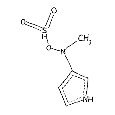 CN(O[SH](=O)=O)c1cc[nH]c1